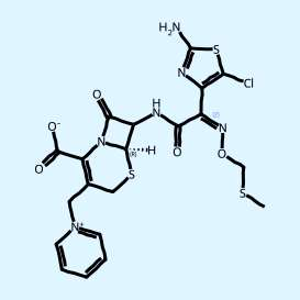 CSCO/N=C(\C(=O)NC1C(=O)N2C(C(=O)[O-])=C(C[n+]3ccccc3)CS[C@H]12)c1nc(N)sc1Cl